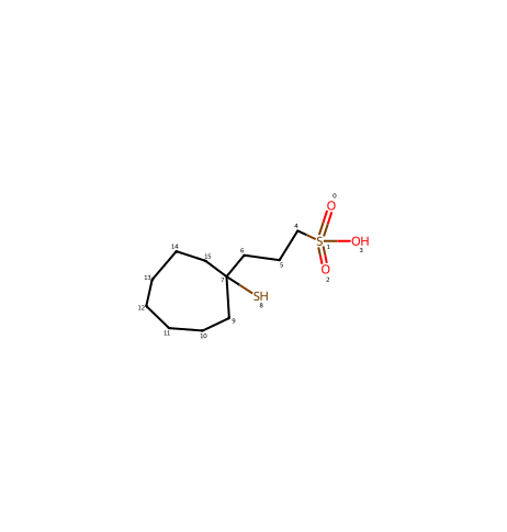 O=S(=O)(O)CCCC1(S)CCCCCCC1